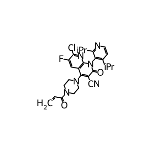 C=CC(=O)N1CCN(c2c(C#N)c(=O)n(-c3c(C(C)C)ccnc3C(C)C)c3nc(Cl)c(F)cc23)CC1